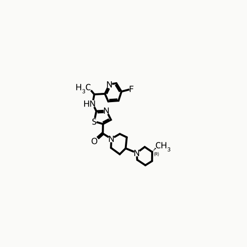 CC(Nc1ncc(C(=O)N2CCC(N3CCC[C@@H](C)C3)CC2)s1)c1ccc(F)cn1